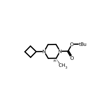 C[C@@H]1CN(C2CCC2)CCN1C(=O)OC(C)(C)C